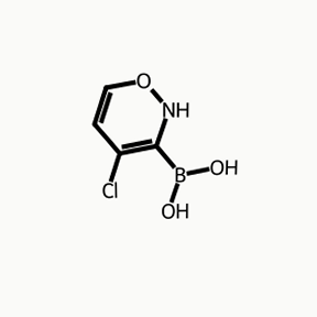 OB(O)C1=C(Cl)C=CON1